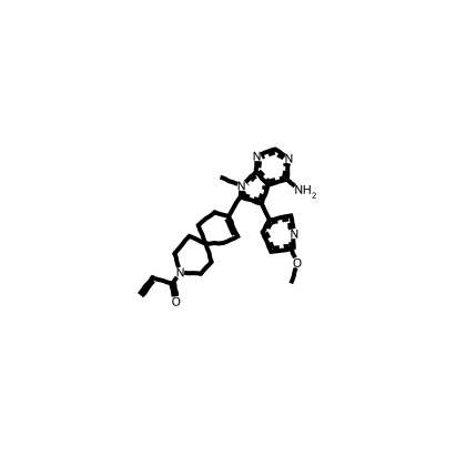 C=CC(=O)N1CCC2(CC=C(c3c(-c4ccc(OC)nc4)c4c(N)ncnc4n3C)CC2)CC1